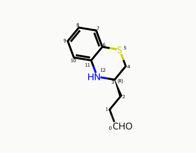 O=CCC[C@@H]1CSc2ccccc2N1